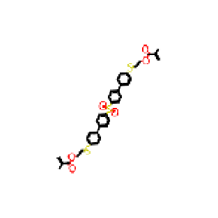 C=C(C)C(=O)OCCSc1ccc(-c2ccc(S(=O)(=O)c3ccc(-c4ccc(SCCOC(=O)C(=C)C)cc4)cc3)cc2)cc1